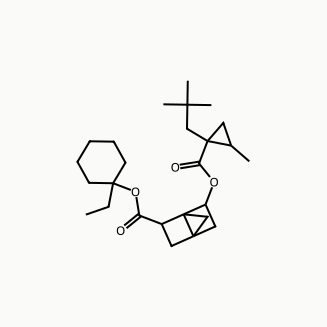 CCC1(OC(=O)C2CC34CC(OC(=O)C5(CC(C)(C)C)CC5C)C23C4)CCCCC1